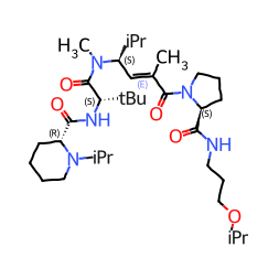 C/C(=C\[C@H](C(C)C)N(C)C(=O)[C@@H](NC(=O)[C@H]1CCCCN1C(C)C)C(C)(C)C)C(=O)N1CCC[C@H]1C(=O)NCCCOC(C)C